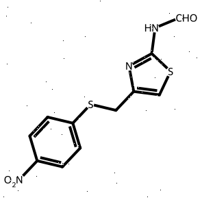 O=CNc1nc(CSc2ccc([N+](=O)[O-])cc2)cs1